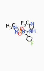 Cn1cnc(S(=O)(=O)N2CC(Nc3ccnc(C(F)(F)F)c3)C(c3ccc(F)cc3)C2)c1